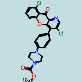 CC(C)(C)OC(=O)N1CCN(c2ccc(-c3c(Cl)cnc4c(=O)c5c(Cl)cccc5oc34)cc2)CC1